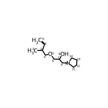 C=CC(C)COCC(O)CN1CCCC1